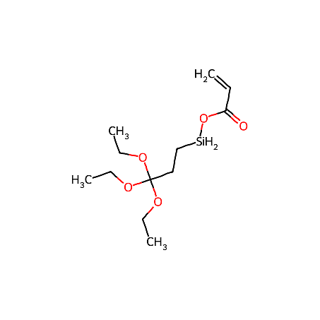 C=CC(=O)O[SiH2]CCC(OCC)(OCC)OCC